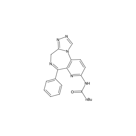 CCCCC(=O)Nc1ccc2c(n1)C(c1ccccc1)=NCc1nncn1-2